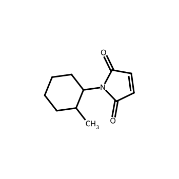 CC1CCCCC1N1C(=O)C=CC1=O